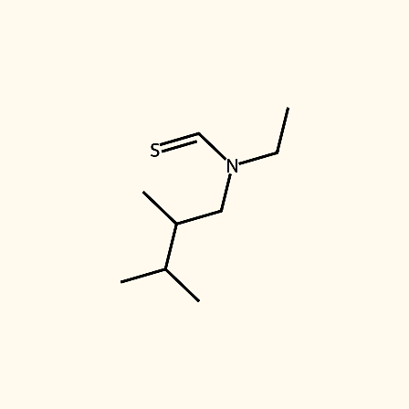 CCN(C=S)CC(C)C(C)C